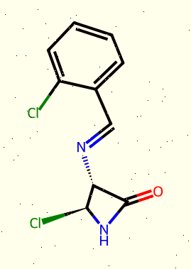 O=C1N[C@@H](Cl)[C@@H]1/N=C/c1ccccc1Cl